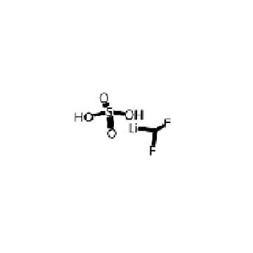 O=S(=O)(O)O.[Li][CH](F)F